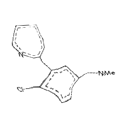 CNc1ccc(Cl)c(-c2ccccn2)c1